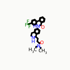 CCN(CC)C(=O)CCC1NCCc2cc(NC(=O)c3ccccc3-c3ccc(C(F)(F)F)cc3)ccc21